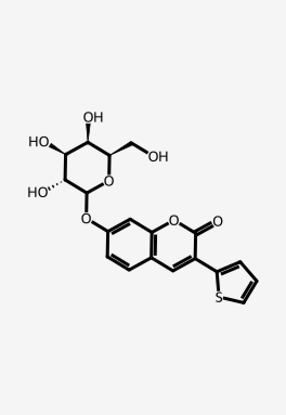 O=c1oc2cc(OC3O[C@H](CO)[C@H](O)[C@H](O)[C@H]3O)ccc2cc1-c1cccs1